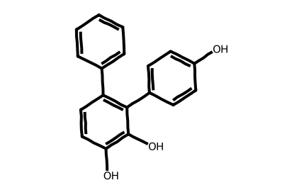 Oc1ccc(-c2c(-c3ccccc3)ccc(O)c2O)cc1